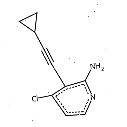 Nc1nccc(Cl)c1C#CC1CC1